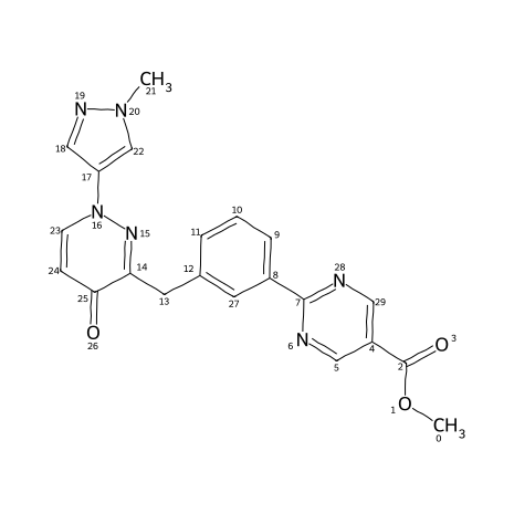 COC(=O)c1cnc(-c2cccc(Cc3nn(-c4cnn(C)c4)ccc3=O)c2)nc1